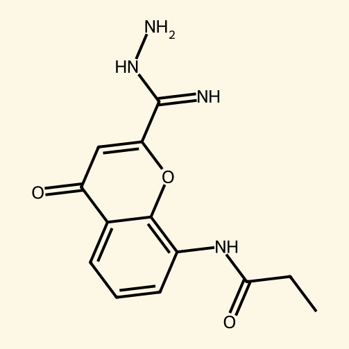 CCC(=O)Nc1cccc2c(=O)cc(C(=N)NN)oc12